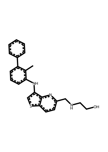 Cc1c(Nc2csc3ccc(CNCCO)nc23)cccc1-c1ccccc1